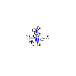 NC1C=CCC/C1=C(/N=C/n1c2ccc(-c3cccc4c5ccccc5n(-c5ccccc5)c34)cc2c2c3c4ccccc4ccc3c3ccccc3c21)c1ccc(-c2ccccc2)cc1